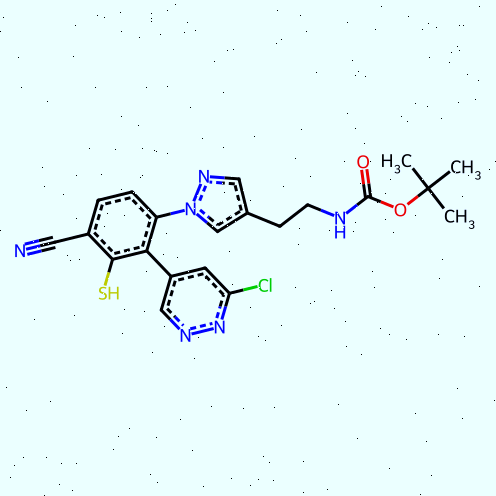 CC(C)(C)OC(=O)NCCc1cnn(-c2ccc(C#N)c(S)c2-c2cnnc(Cl)c2)c1